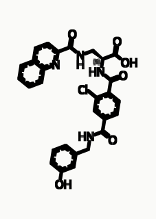 O=C(NCc1cccc(O)c1)c1ccc(C(=O)N[C@@H](CNC(=O)c2ccc3ccccc3n2)C(=O)O)c(Cl)c1